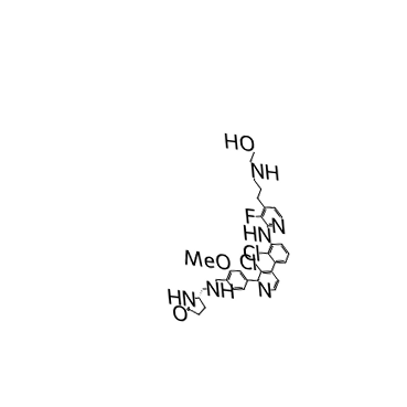 COc1cc(-c2nccc(-c3cccc(Nc4nccc(CCCNCCO)c4F)c3Cl)c2Cl)ccc1CNC[C@@H]1CCC(=O)N1